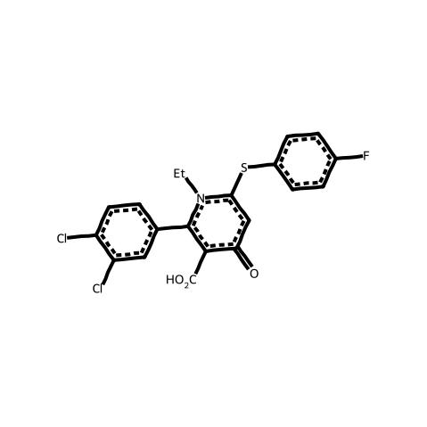 CCn1c(Sc2ccc(F)cc2)cc(=O)c(C(=O)O)c1-c1ccc(Cl)c(Cl)c1